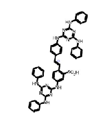 O=S(=O)(O)c1cc(Nc2nc(Nc3ccccc3)nc(Nc3ccccc3)n2)ccc1/C=C/c1ccc(Nc2nc(Nc3ccccc3)nc(Nc3ccccc3)n2)cc1